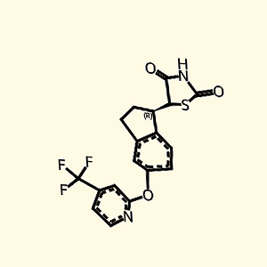 O=C1NC(=O)C([C@@H]2CCc3cc(Oc4cc(C(F)(F)F)ccn4)ccc32)S1